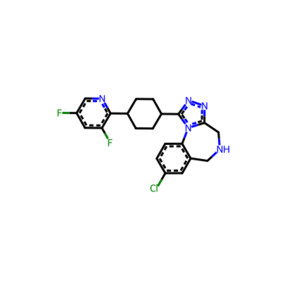 Fc1cnc(C2CCC(c3nnc4n3-c3ccc(Cl)cc3CNC4)CC2)c(F)c1